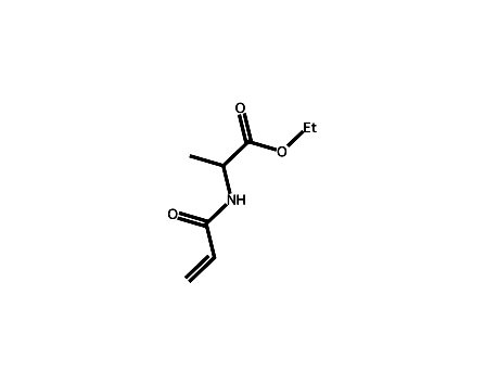 C=CC(=O)NC(C)C(=O)OCC